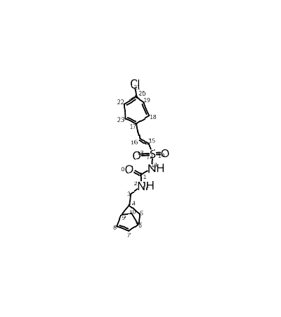 O=C(NCC1CC2C=CC1C2)NS(=O)(=O)C=Cc1ccc(Cl)cc1